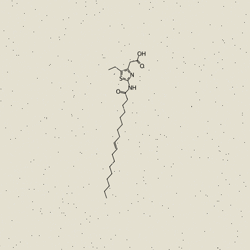 CCCCCCCCC=CCCCCCCCC(=O)Nc1nc(CC(=O)O)c(CC)s1